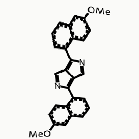 COc1ccc2c(C3=C4C=NC(c5cccc6cc(OC)ccc56)=C4C=N3)cccc2c1